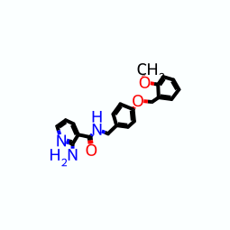 COc1ccccc1COc1ccc(CNC(=O)c2cccnc2N)cc1